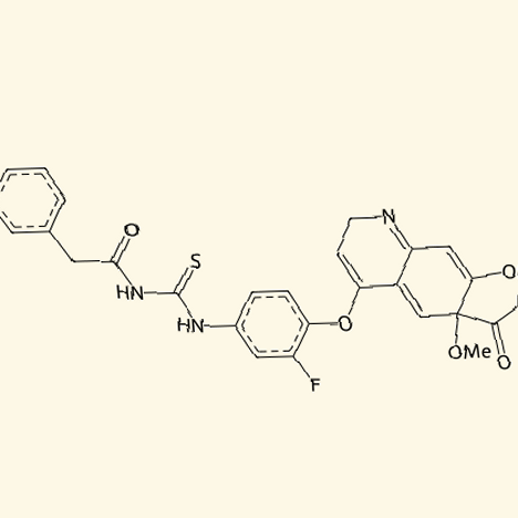 COC1=CC2=NCC=C(Oc3ccc(NC(=S)NC(=O)Cc4ccccc4)cc3F)C2=CC1(OC)C(N)=O